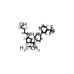 CC(C)[C@]1(C(=O)N2CCN(c3cc(C(F)(F)F)ccn3)CC2)CC[C@@H](NCCCO)C1